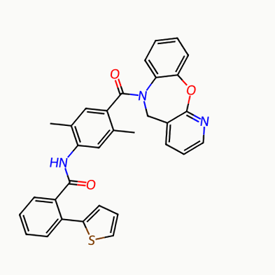 Cc1cc(C(=O)N2Cc3cccnc3Oc3ccccc32)c(C)cc1NC(=O)c1ccccc1-c1cccs1